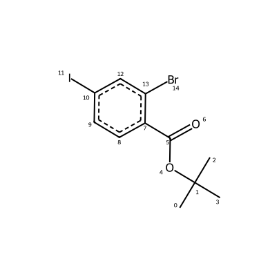 CC(C)(C)OC(=O)c1ccc(I)cc1Br